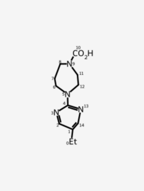 CCc1cnc(N2CCCN(C(=O)O)CC2)nc1